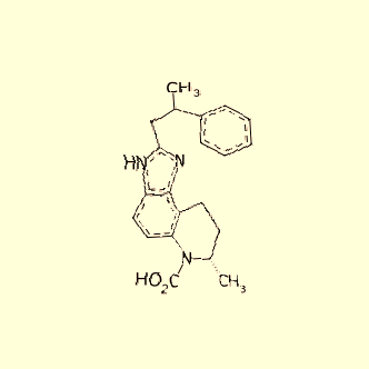 CC(Cc1nc2c3c(ccc2[nH]1)N(C(=O)O)[C@@H](C)CC3)c1ccccc1